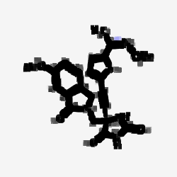 CO/N=C(/C)c1ccc(C#C[C@]2(CN3Cc4ccc(OC)cc4C3=O)NC(=O)NC2=O)s1